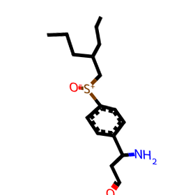 CCCC(CCC)C[S+]([O-])c1ccc(C(N)CC=O)cc1